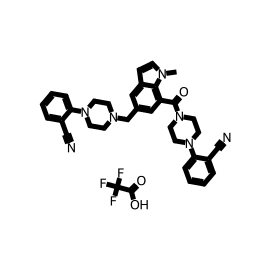 Cn1ccc2cc(CN3CCN(c4ccccc4C#N)CC3)cc(C(=O)N3CCN(c4ccccc4C#N)CC3)c21.O=C(O)C(F)(F)F